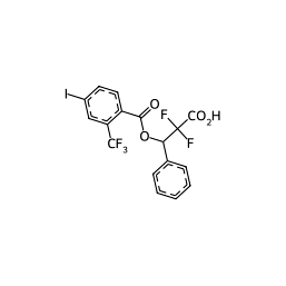 O=C(OC(c1ccccc1)C(F)(F)C(=O)O)c1ccc(I)cc1C(F)(F)F